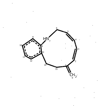 C=C1/C=C\C=C/CNc2ccccc2CC1